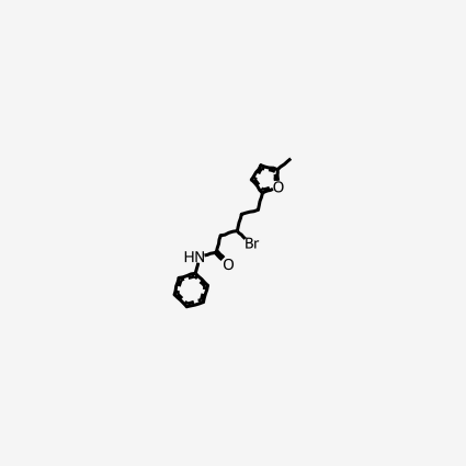 Cc1ccc(CCC(Br)CC(=O)Nc2ccccc2)o1